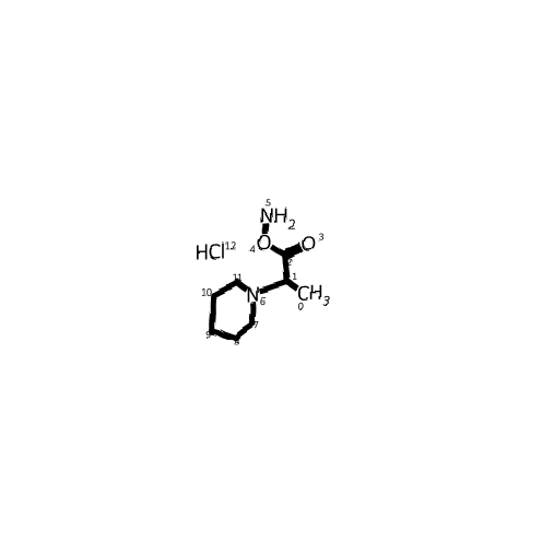 CC(C(=O)ON)N1CCCCC1.Cl